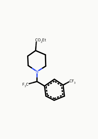 CCOC(=O)C1CCN(C(c2cccc(C(F)(F)F)c2)C(F)(F)F)CC1